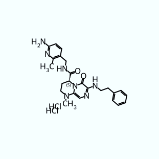 Cc1nc(N)ccc1CNC(=O)[C@@H]1CCN(C)c2cnc(NCCc3ccccc3)c(=O)n21.Cl.Cl